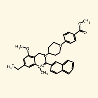 CCc1cc(OC)c(CN(C(=O)c2ccc3ccccc3c2)C2CCN(c3ccc(C(=O)OC)cc3)CC2)c(OC)c1